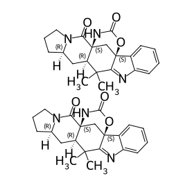 CC1(C)C2=Nc3ccccc3[C@@]23C[C@@]2(NC(=O)O3)C(=O)N3CCC[C@@H]3C[C@H]12.CC1(C)C2=Nc3ccccc3[C@@]23C[C@@]2(NC(=O)O3)C(=O)N3CCC[C@@H]3C[C@H]12